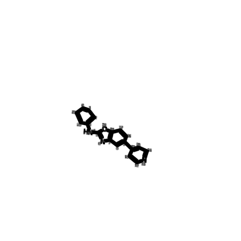 c1ccc(Nc2nc3cc(-c4ccncc4)ccc3o2)cc1